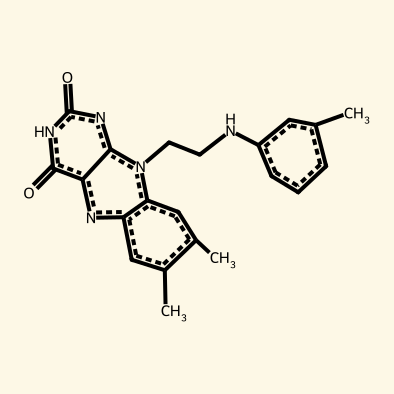 Cc1cccc(NCCn2c3nc(=O)[nH]c(=O)c-3nc3cc(C)c(C)cc32)c1